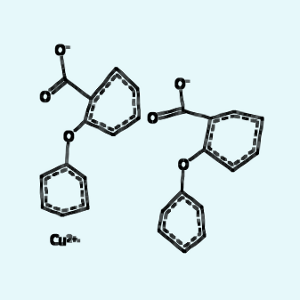 O=C([O-])c1ccccc1Oc1ccccc1.O=C([O-])c1ccccc1Oc1ccccc1.[Cu+2]